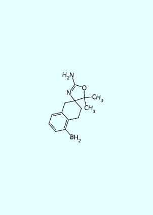 Bc1cccc2c1CCC1(C2)N=C(N)OC1(C)C